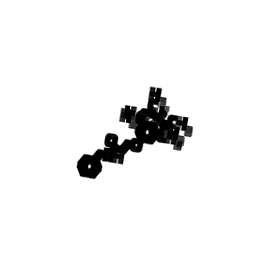 Cc1cc(OCCC(=O)NCc2ccccc2)cc(C)c1[Si](F)(C(C)C)C(C)C